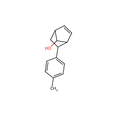 Cc1ccc(C2CC3C=CC2C3O)cc1